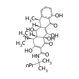 CCCC(C)(C)NC(=O)C1=C(O)[C@@H](N(C)C)[C@@H]2[C@@H](O)[C@H]3C(=C(O)[C@]2(O)C1=O)C(=O)c1c(O)cccc1[C@@H]3C